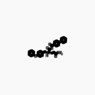 NC(=O)CC[C@H](NCc1ccc(Oc2ccccc2)cc1)C(=O)OC(=O)c1ccc(-c2ccccc2)cc1